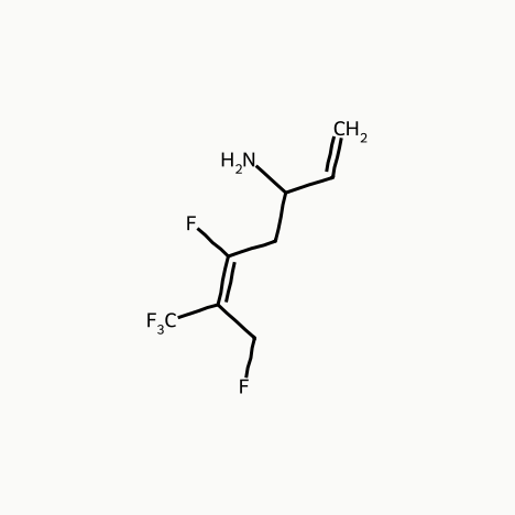 C=CC(N)C/C(F)=C(\CF)C(F)(F)F